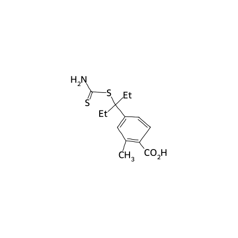 CCC(CC)(SC(N)=S)c1ccc(C(=O)O)c(C)c1